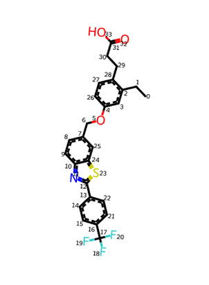 CCc1cc(OCc2ccc3nc(-c4ccc(C(F)(F)F)cc4)sc3c2)ccc1CCC(=O)O